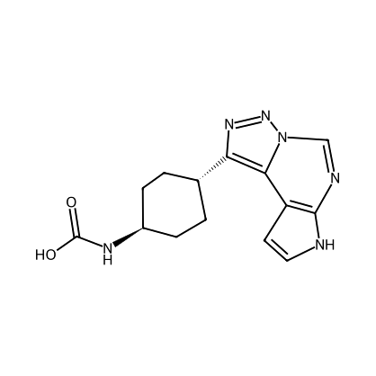 O=C(O)N[C@H]1CC[C@H](c2nnn3cnc4[nH]ccc4c23)CC1